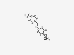 COc1ccc(CCC2CCC(C)CC2)cc1